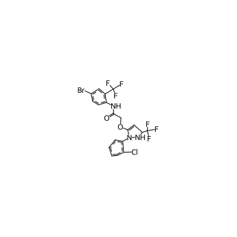 O=C(COC1=CC(C(F)(F)F)NN1c1ccccc1Cl)Nc1ccc(Br)cc1C(F)(F)F